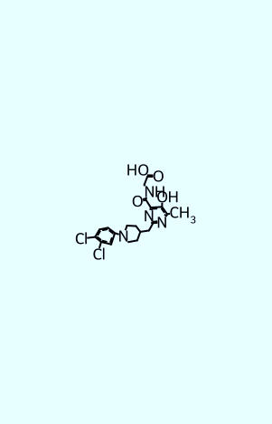 Cc1nc(CC2CCN(c3ccc(Cl)c(Cl)c3)CC2)nc(C(=O)NCC(=O)O)c1O